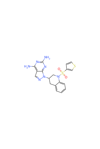 Nc1nc(N)c2cnn(C3Cc4ccccc4N(S(=O)(=O)c4ccsc4)C3)c2n1